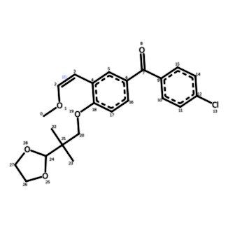 CO/C=C\c1cc(C(=O)c2ccc(Cl)cc2)ccc1OCC(C)(C)C1OCCO1